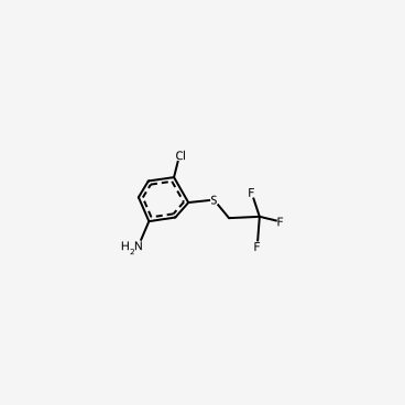 Nc1ccc(Cl)c(SCC(F)(F)F)c1